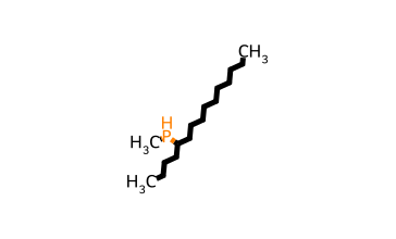 CCCCCCCCCCC(CCCC)PC